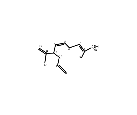 C=CSC(/C=C\C/C=C(\C)O)C(=C)C